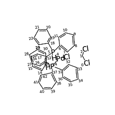 ClCCl.[Cl][Pd]([PH](c1ccccc1)(c1ccccc1)c1ccccc1)[PH](c1ccccc1)(c1ccccc1)c1ccccc1